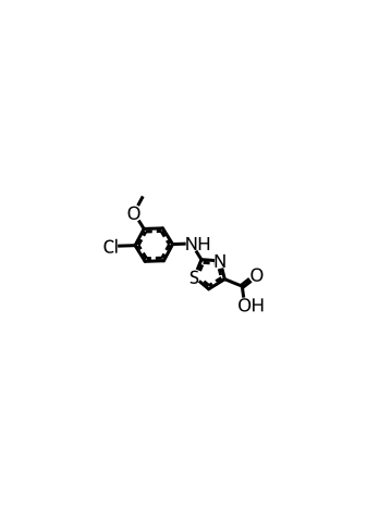 COc1cc(Nc2nc(C(=O)O)cs2)ccc1Cl